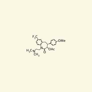 COc1ccc([C@@H]2Cc3cc(C(F)(F)F)ccc3N(CCN(C)C)C(=O)[C@@H]2OC(C)=O)cc1